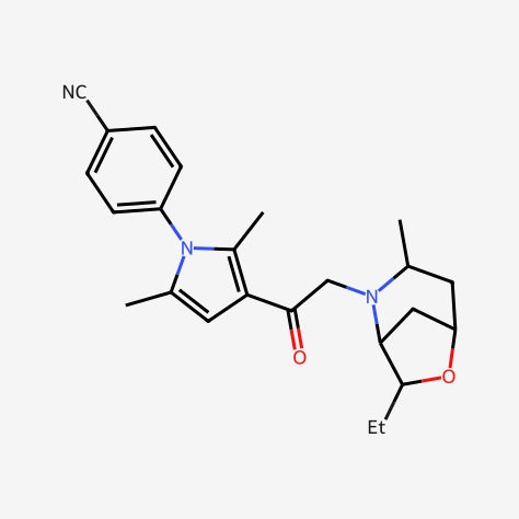 CCC1OC2CC(C)N(CC(=O)c3cc(C)n(-c4ccc(C#N)cc4)c3C)C1C2